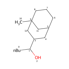 CCCCC(O)C1CC2CCCC(C)(C2)C1